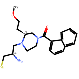 CCCOCC[C@H]1CN(C(=O)c2cccc3ccccc23)CCN1C[C@@H](N)CS